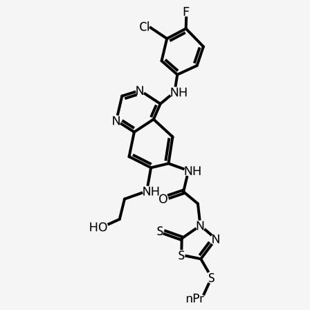 CCCSc1nn(CC(=O)Nc2cc3c(Nc4ccc(F)c(Cl)c4)ncnc3cc2NCCO)c(=S)s1